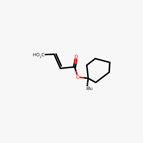 CCC(C)C1(OC(=O)C=CC(=O)O)CCCCC1